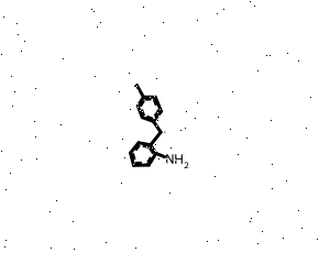 Cc1ccc([CH]c2ccccc2N)cc1